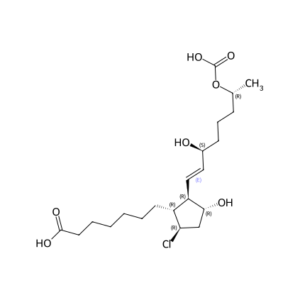 C[C@H](CCC[C@H](O)/C=C/[C@@H]1[C@@H](CCCCCCC(=O)O)[C@H](Cl)C[C@H]1O)OC(=O)O